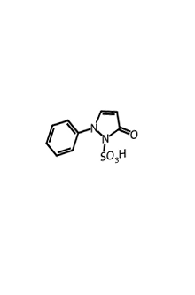 O=c1ccn(-c2ccccc2)n1S(=O)(=O)O